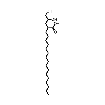 CCCCCCCCCCCCCCCCC(CC(O)CO)C(=O)O